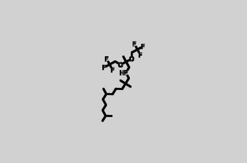 CC(C)CCCC(C)CCCC(C)(C)CPCC(C)(OCC(F)(F)F)OCC(F)(F)F